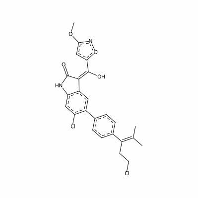 COc1cc(C(O)=C2C(=O)Nc3cc(Cl)c(-c4ccc(C(CCCl)=C(C)C)cc4)cc32)on1